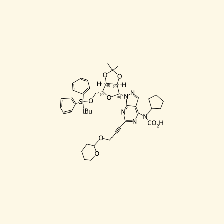 CC1(C)O[C@@H]2[C@H](O1)[C@@H](CO[Si](c1ccccc1)(c1ccccc1)C(C)(C)C)O[C@H]2n1ncc2c(N(C(=O)O)C3CCCC3)nc(C#CCOC3CCCCO3)nc21